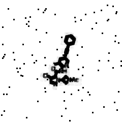 CC(=O)N1CC(n2ncc(Cl)c2C(=O)Nc2ncc(C#Cc3ccccc3)cc2C)C1